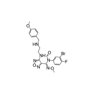 CO/N=C(/c1nonc1NCCNCc1ccc(OC)cc1)N(C=O)c1ccc(F)c(Br)c1